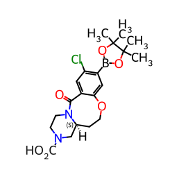 CC1(C)OB(c2cc3c(cc2Cl)C(=O)N2CCN(C(=O)O)C[C@@H]2CCO3)OC1(C)C